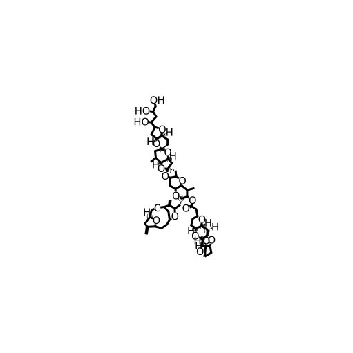 C=C1C[C@@H]2CCC3CC(CCC1O2)OC(C[C@@H]1OC2CC4O[C@]5(CC4OC2C(C)C1OC(=O)CC1CC[C@@H]2O[C@@H]4C6OC7CC(O[C@H]6[C@H]2O1)O[C@@H]74)C[C@@H]1O[C@]2(CC[C@@H]4OC(C(O)CC(O)CO)C[C@@H]4O2)CC(C)[C@@H]1O5)C3=C